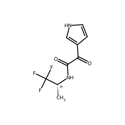 C[C@@H](NC(=O)C(=O)c1cc[nH]c1)C(F)(F)F